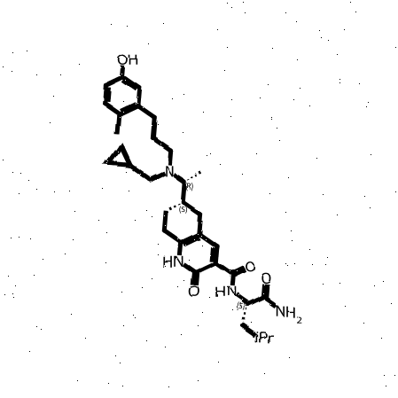 Cc1ccc(O)cc1CCCN(CC1CC1)[C@H](C)[C@H]1CCc2[nH]c(=O)c(C(=O)N[C@@H](CC(C)C)C(N)=O)cc2C1